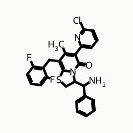 Cc1c(Cc2c(F)cccc2F)c2n(c(=O)c1-c1cccc(Cl)n1)C(C(N)c1ccccc1)CS2